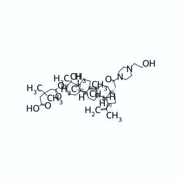 C=C(C)[C@@H]1CC[C@]2(CC(=O)N3CCN(CCO)CC3)CC[C@]3(C)[C@H](CC[C@@H]4[C@@]5(C)CC[C@H](OC(=O)CC(C)(C)CC(=O)O)C(C)(C)[C@@H]5CC[C@]43C)[C@@H]12